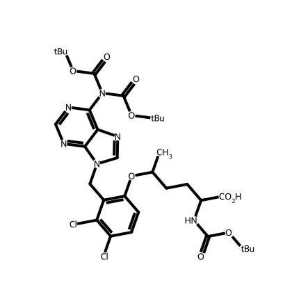 CC(CCC(NC(=O)OC(C)(C)C)C(=O)O)Oc1ccc(Cl)c(Cl)c1Cn1cnc2c(N(C(=O)OC(C)(C)C)C(=O)OC(C)(C)C)ncnc21